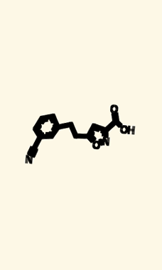 N#Cc1cccc(CCc2cc(C(=O)O)no2)c1